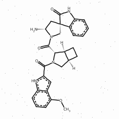 COc1cccc2[nH]c(C(=O)N3C[C@@H]4CC[C@@H]4[C@H]3C(=O)N3C[C@]4(C[C@H]3N)C(=O)Nc3ccccc34)cc12